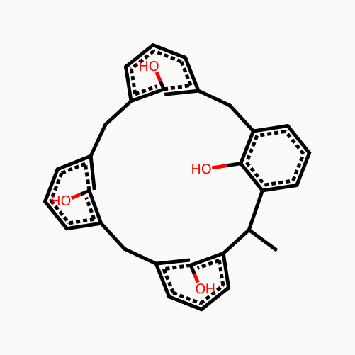 CC1c2cccc(c2O)Cc2cccc(c2O)Cc2cccc(c2O)Cc2cccc1c2O